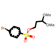 COC(CCOS(=O)(=O)c1ccc(Br)cc1)OC